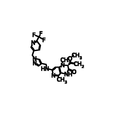 C=C(OC)[C@H]1C(=O)Nc2c(cc(NCc3cnn(Cc4ccc(C(F)(F)F)nc4)c3)nc2C)N1C